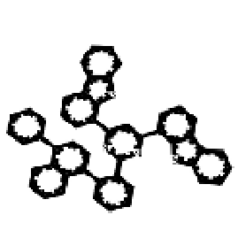 c1ccc(-c2ccc(-c3ccccc3-c3nc(-c4cccc5c4sc4ccccc45)cc(-c4cccc5c4sc4ccccc45)n3)c3ccccc23)cc1